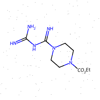 CCOC(=O)N1CCN(C(=N)NC(=N)N)CC1